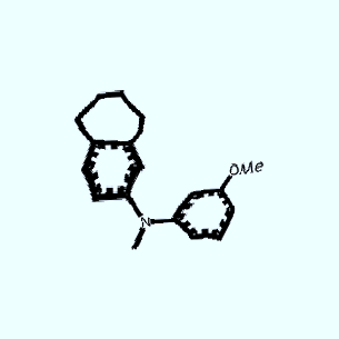 COc1cccc(N(C)c2ccc3c(c2)CCCC3)c1